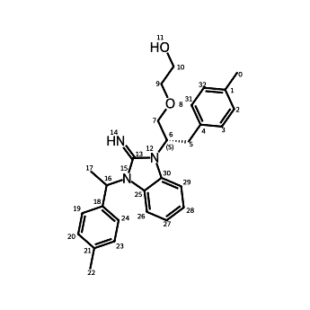 Cc1ccc(C[C@@H](COCCO)n2c(=N)n(C(C)c3ccc(C)cc3)c3ccccc32)cc1